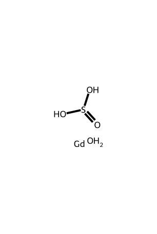 O.O=S(O)O.[Gd]